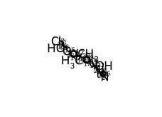 CC(C)(c1ccc(OC[C@H](O)CCl)cc1)c1ccc(OC[C@@H](O)Cn2ccnc2)cc1